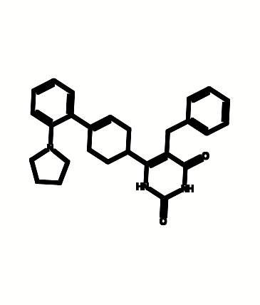 O=c1[nH]c(C2CC=C(c3ccccc3N3CCCC3)CC2)c(Cc2ccccc2)c(=O)[nH]1